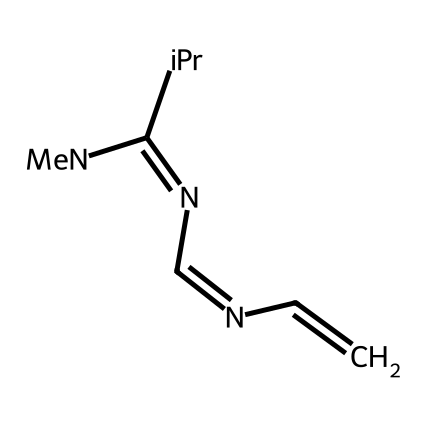 C=C/N=C\N=C(/NC)C(C)C